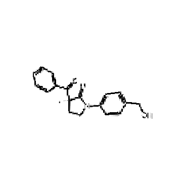 C[C@@]1(C(=O)c2ccccc2)CCN(c2ccc(CO)cc2)C1=O